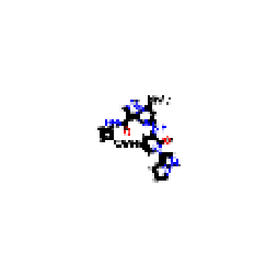 CNc1cc(Nc2cccn(-c3cnn4c3CCC4)c2=O)nc2c(C(=O)N[C@@H]3CC[C@H]3OC)cnn12